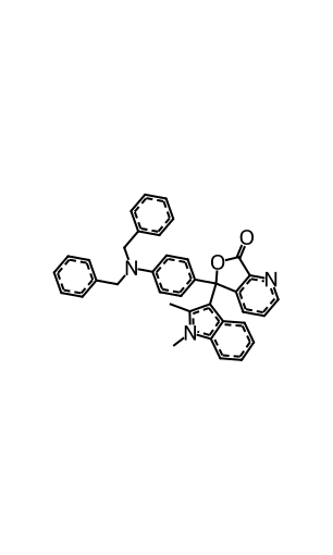 Cc1c(C2(c3ccc(N(Cc4ccccc4)Cc4ccccc4)cc3)OC(=O)c3ncccc32)c2ccccc2n1C